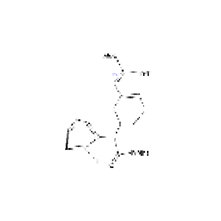 CCCCCC(=O)C(c1ccccc1F)N1CCC=C(/C=C(\CCC)OC)C1